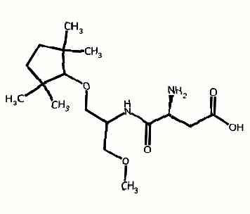 COCC(COC1C(C)(C)CCC1(C)C)NC(=O)[C@@H](N)CC(=O)O